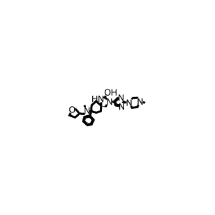 CN1CCN(c2ncc(N3C[C@]4(CC[C@](c5ccccc5)(N(C)CC5CCOC5)CC4)NC3O)cn2)CC1